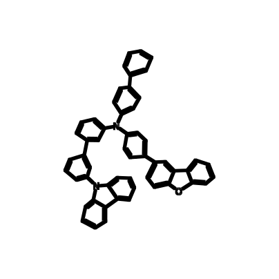 c1ccc(-c2ccc(N(c3ccc(-c4ccc5oc6ccccc6c5c4)cc3)c3cccc(-c4cccc(-n5c6ccccc6c6ccccc65)c4)c3)cc2)cc1